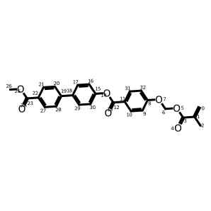 C=C(C)C(=O)OCOc1ccc(C(=O)Oc2ccc(-c3ccc(C(=O)OC)cc3)cc2)cc1